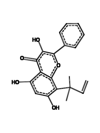 C=CC(C)(C)c1c(O)cc(O)c2c(=O)c(O)c(-c3ccccc3)oc12